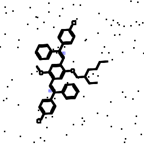 CCCCC(CC)COc1cc(/C=C(\c2ccccc2)c2ccc(Cl)cc2)c(OC)cc1/C=C(\c1ccccc1)c1ccc(Cl)cc1